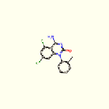 Cc1ccccc1-n1c(=O)nc(N)c2c(F)cc(Cl)cc21